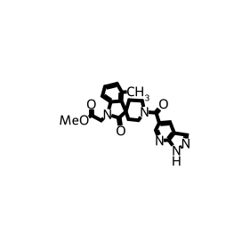 COC(=O)CN1C(=O)C2(CCN(C(=O)c3cnc4[nH]ncc4c3)CC2)c2c(C)cccc21